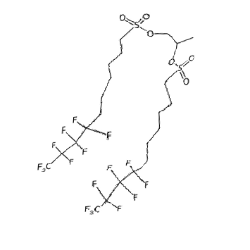 CC(COS(=O)(=O)CCCCCCC(F)(F)C(F)(F)C(F)(F)C(F)(F)F)OS(=O)(=O)CCCCCCC(F)(F)C(F)(F)C(F)(F)C(F)(F)F